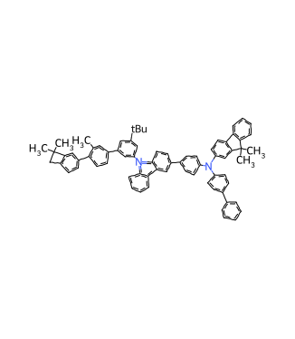 Cc1cc(-c2cc(-n3c4ccccc4c4cc(-c5ccc(N(c6ccc(-c7ccccc7)cc6)c6ccc7c(c6)C(C)(C)c6ccccc6-7)cc5)ccc43)cc(C(C)(C)C)c2)ccc1-c1ccc2c(c1)C(C)(C)C2